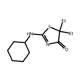 CCC1(CC)SC(NC2CCCCC2)=NC1=O